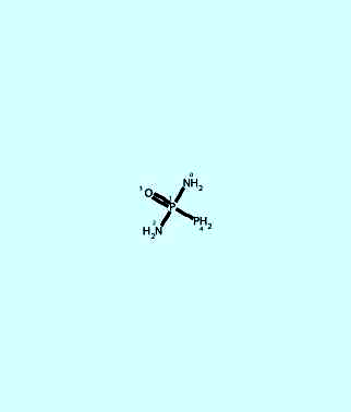 NP(N)(=O)P